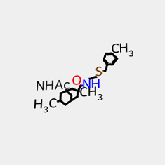 CC(=O)NC12CC(C)CC(C1)CC(C)(C(=O)NCCSCc1ccc(C)cc1)C2